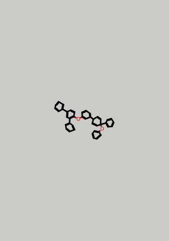 C1=CC(Oc2ccccc2)(c2ccccc2)C=CC1c1cccc(Oc2ccc(-c3ccccc3)cc2-c2ccccc2)c1